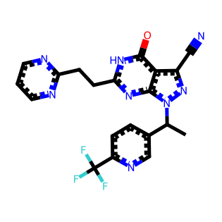 CC(c1ccc(C(F)(F)F)nc1)n1nc(C#N)c2c(=O)[nH]c(CCc3ncccn3)nc21